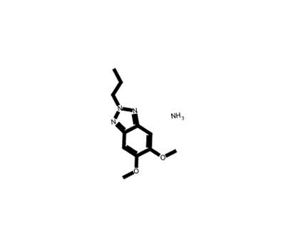 CCCn1nc2cc(OC)c(OC)cc2n1.N